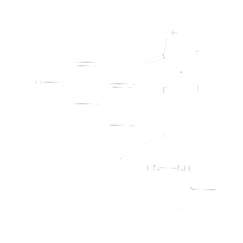 COc1ccc2ccc(S(=O)(=O)NNC(C)=O)cc2c1.O=C(O)C(F)(F)F